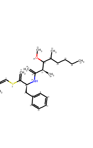 C=C(S/C=C\C)[C@H](Cc1ccccc1)NC(=C)[C@H](C)C(OC)C(C)CCCC